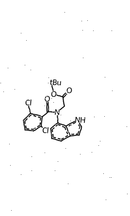 CC(C)(C)OC(=O)CN(C(=O)c1c(Cl)cccc1Cl)c1cccc2cc[nH]c12